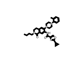 CCCCN1CCc2cc(N3CCN(c4ccccc4C)CC3)c(NC(=O)c3coc(C4CC4)n3)cc2C1=O